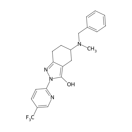 CN(Cc1ccccc1)C1CCc2nn(-c3ccc(C(F)(F)F)cn3)c(O)c2C1